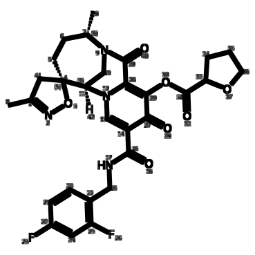 CC1=NO[C@@]2(CC[C@H](C)N3C[C@H]2n2cc(C(=O)NCc4ccc(F)cc4F)c(=O)c(OC(=O)C4CCCO4)c2C3=O)C1